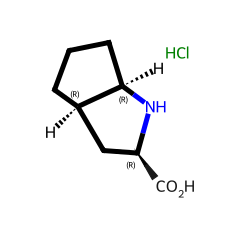 Cl.O=C(O)[C@H]1C[C@H]2CCC[C@H]2N1